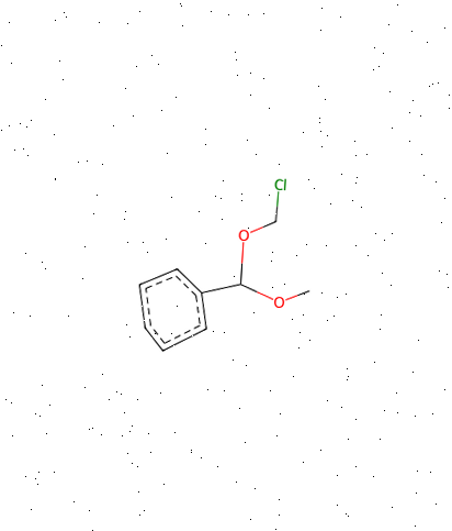 COC(OCCl)c1ccccc1